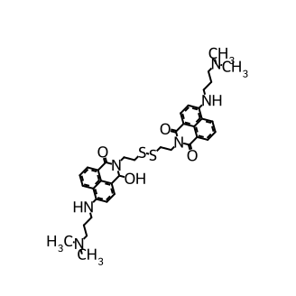 CN(C)CCCNc1ccc2c3c(cccc13)C(=O)N(CCSSCCN1C(=O)c3cccc4c(NCCCN(C)C)ccc(c34)C1O)C2=O